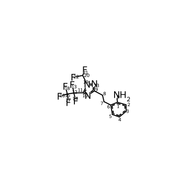 Nc1ccccc1CCc1nc(C(F)(F)C(F)(F)F)n(C(F)F)n1